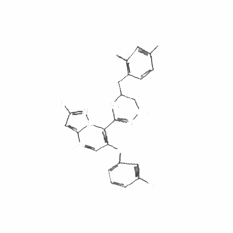 Fc1cc2ncc(Oc3cccc(C(F)(F)F)c3)c(C3=NOCC(Cc4ccc(Cl)cc4Cl)N3)n2n1